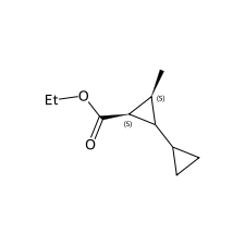 CCOC(=O)[C@@H]1C(C2CC2)[C@@H]1C